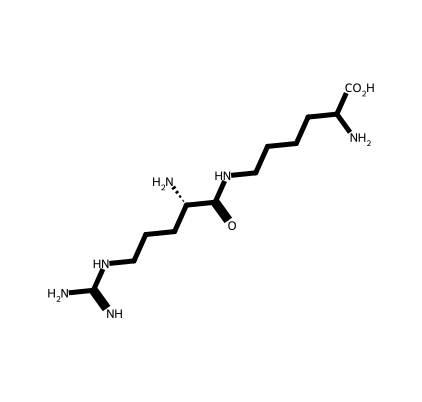 N=C(N)NCCC[C@H](N)C(=O)NCCCCC(N)C(=O)O